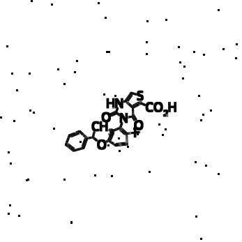 CC(Oc1ccc(F)c(-n2c(=O)[nH]c3csc(C(=O)O)c3c2=O)c1)c1ccccc1